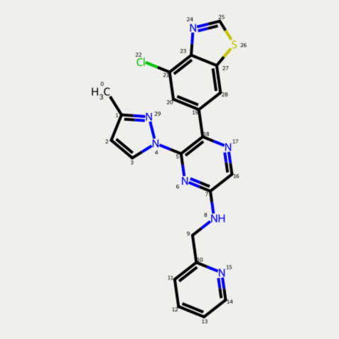 Cc1ccn(-c2nc(NCc3ccccn3)cnc2-c2cc(Cl)c3ncsc3c2)n1